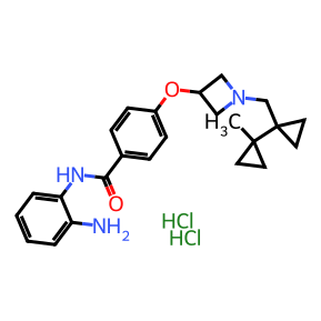 CC1(C2(CN3CC(Oc4ccc(C(=O)Nc5ccccc5N)cc4)C3)CC2)CC1.Cl.Cl